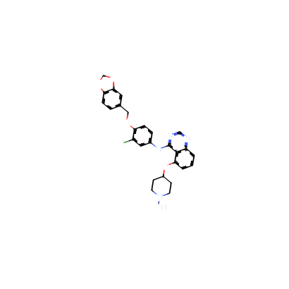 CN1CCC(Oc2cccc3ncnc(Nc4ccc(OCc5ccc6c(c5)OCO6)c(Cl)c4)c23)CC1